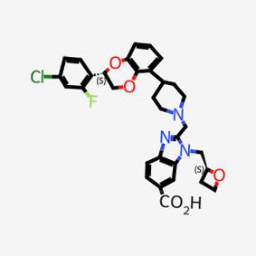 O=C(O)c1ccc2nc(CN3CCC(c4cccc5c4OC[C@H](c4ccc(Cl)cc4F)O5)CC3)n(C[C@@H]3CCO3)c2c1